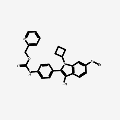 CCOc1ccc2c(C#N)c(-c3ccc(NC(=O)OCc4ccccn4)cc3)n(C3CCC3)c2c1